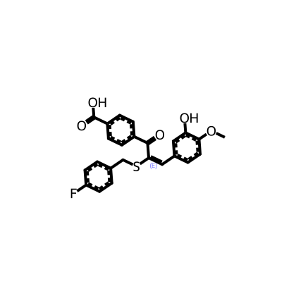 COc1ccc(/C=C(/SCc2ccc(F)cc2)C(=O)c2ccc(C(=O)O)cc2)cc1O